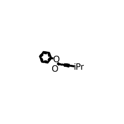 CC(C)C#CC(=O)Oc1ccccc1